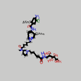 COc1cc(N)c(Cl)cc1C(=O)N[C@@H]1CCN(CCCCCC(=O)N(C)[C@@H]2CCCN(CCCCCC(=O)NC[C@H](O)[C@@H](O)[C@H](O)[C@H](O)CO)C2)C[C@@H]1OC